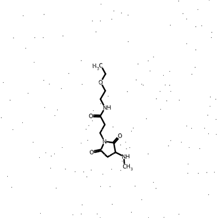 CCOCCNC(=O)CCN1C(=O)CC(NC)C1=O